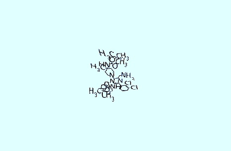 CC1(NC(=O)OC(C)(C)C)CCN(c2nc(NC(=O)OC(C)(C)C)c(-c3cccc(Cl)c3Cl)nc2CN)CC1